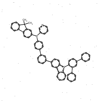 CC1(C)c2ccccc2-c2ccc(N(c3ccc(-c4cccc(-c5ccc6c(c5)c5ccccc5n6-c5ccc(-c6ccccc6)cc5-c5ccccc5)c4)cc3)c3cccnc3)cc21